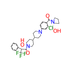 O=C(c1ccc(N2CCC(C3CCN(C(=O)[C@](O)(c4ccccc4)C(F)(F)F)CC3)CC2)cc1Cl)N1CCC[C@@H]1CO